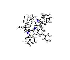 CC(C)(C)Cc1nc2c(c3c4cc(-c5ccccc5)cc5c6c7c(nc(CC(C)(C)C)c6n(c13)c45)C1CC3CC4CC7CC34C1)C1CC3CC4CC2CC43C1